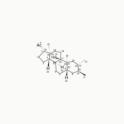 CC(=O)[C@H]1CC[C@H]2[C@@H]3CC[C@H]4C[C@H](C)[C@@H](C)C[C@]4(C)[C@H]3CC[C@]12C